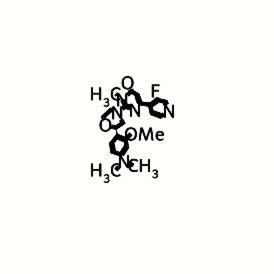 COc1cc(N(C)C)ccc1[C@H]1CN(c2nc(-c3ccncc3F)cc(=O)n2C)CCO1